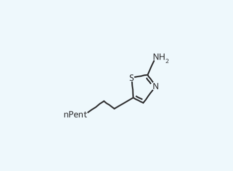 CCCCCCCc1cnc(N)s1